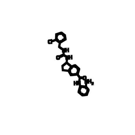 Nc1ccccc1NC(=O)c1ccc2c(c1)CCC2NC(=O)NCc1ccccc1Cl